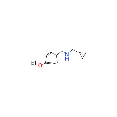 CCOc1ccc(CNCC2CC2)cc1